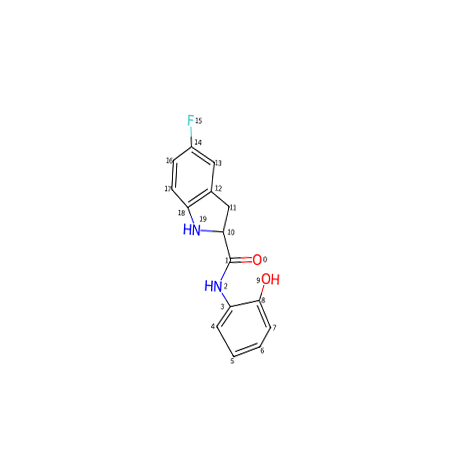 O=C(Nc1ccccc1O)C1Cc2cc(F)ccc2N1